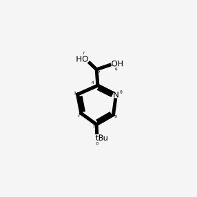 CC(C)(C)c1ccc(C(O)O)nc1